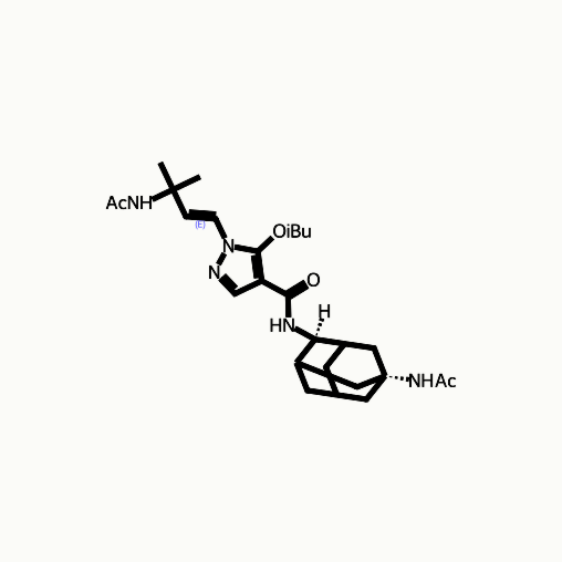 CC(=O)NC(C)(C)/C=C/n1ncc(C(=O)N[C@H]2C3CC4CC2C[C@](NC(C)=O)(C4)C3)c1OCC(C)C